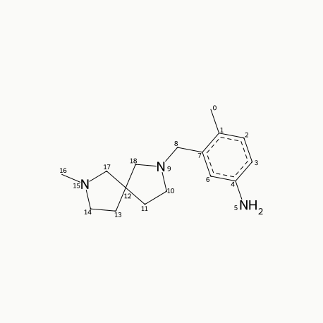 Cc1ccc(N)cc1CN1CCC2(CCN(C)C2)C1